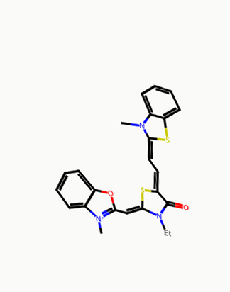 CCn1c(=O)/c(=C/C=C2\Sc3ccccc3N2C)s/c1=C\c1oc2ccccc2[n+]1C